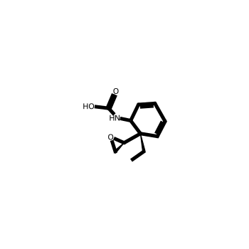 CC[C@]1([C@H]2CO2)C=CC=CC1NC(=O)O